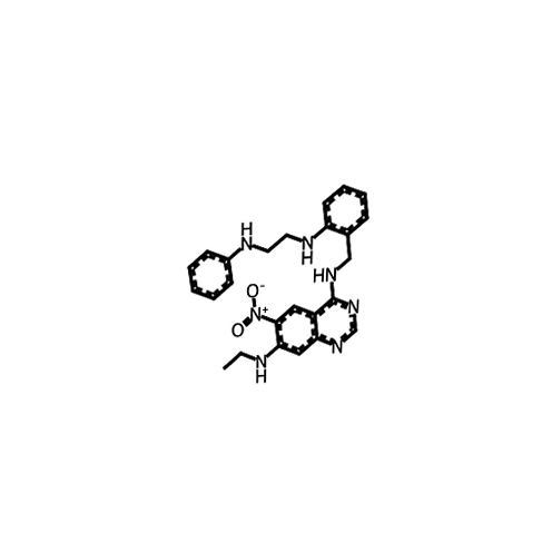 CCNc1cc2ncnc(NCc3ccccc3NCCNc3ccccc3)c2cc1[N+](=O)[O-]